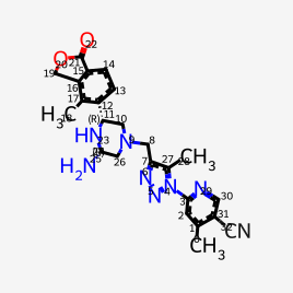 Cc1cc(-n2nnc(CN3C[C@@H](c4ccc5c(c4C)COC5=O)N[C@@H](N)C3)c2C)ncc1C#N